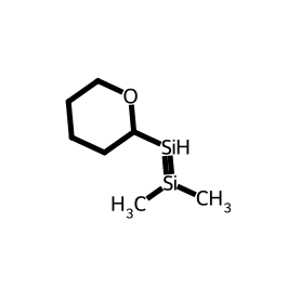 C[Si](C)=[SiH]C1CCCCO1